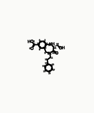 O=C(O)c1ccc2c(c1)CN(CCc1ccccc1)C(=O)[C@@H](CO)N2